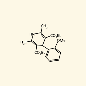 CCOC(=O)C1=C(C)NC(C)=C(C(=O)OCC)C1c1ccccc1OC